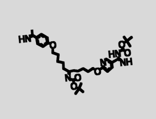 CC(=N)c1ccc(OCCCCC/C(CCCCCOc2ccc(C(=N)NC(=O)OC(C)(C)C)cn2)=N/C(=O)OC(C)(C)C)cc1